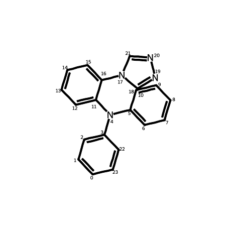 c1ccc(N(c2ccccc2)c2ccccc2-n2cnnc2)cc1